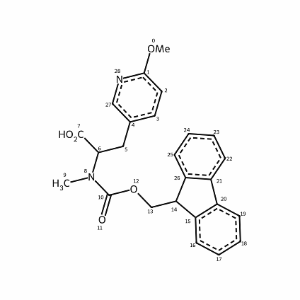 COc1ccc(CC(C(=O)O)N(C)C(=O)OCC2c3ccccc3-c3ccccc32)cn1